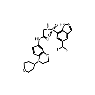 CN(CC(=O)Nc1ccc2c(c1)OCCN2C1CCOCC1)S(=O)(=O)c1cc(C(F)F)cc2cn[nH]c12